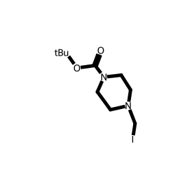 CC(C)(C)OC(=O)N1CCN(CI)CC1